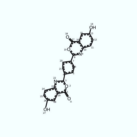 O=c1oc(-c2ccc(-c3nc4ccc(O)cc4c(=O)o3)cc2)nc2ccc(O)cc12